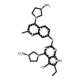 CCc1[nH]c2nc(Sc3ccc4c(N5CC[C@@H](N)C5)cc(C)nc4c3)nc(N3CC[C@@H](N)C3)c2c1Cl